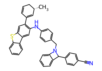 C[C@@H]1C=C(c2cc3sc4ccccc4c3cc2Nc2ccc(CN3c4ccccc4C3c3ccc(C#N)cc3)cc2)C=CC1